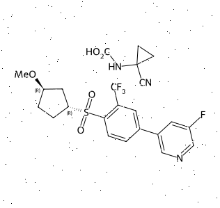 CO[C@@H]1CC[C@@H](S(=O)(=O)c2ccc(-c3cncc(F)c3)cc2C(F)(F)F)C1.N#CC1(NC(=O)O)CC1